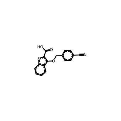 N#Cc1ccc(COc2c(C(=O)O)sc3ccccc23)cc1